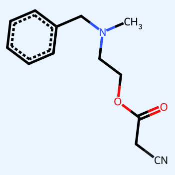 CN(CCOC(=O)CC#N)Cc1ccccc1